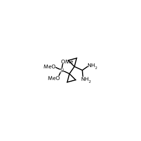 CO[Si](OC)(OC)C1(C2(C(N)N)CC2)CC1